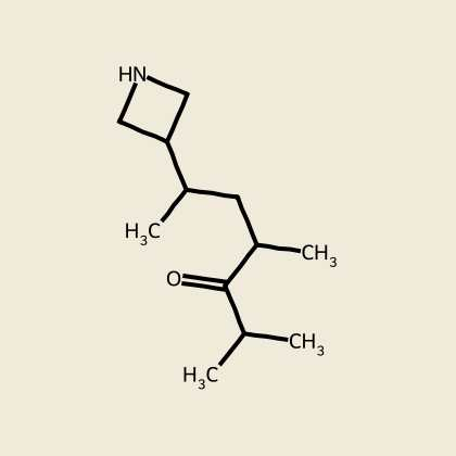 CC(C)C(=O)C(C)CC(C)C1CNC1